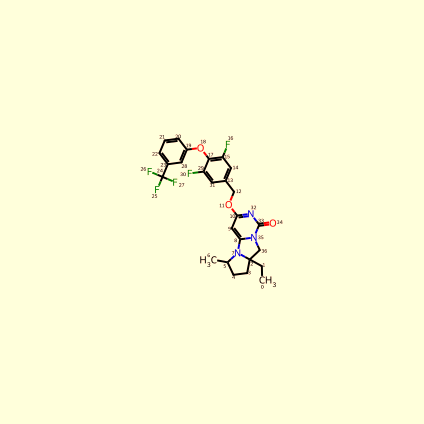 CCC12CCC(C)N1c1cc(OCc3cc(F)c(Oc4cccc(C(F)(F)F)c4)c(F)c3)nc(=O)n1C2